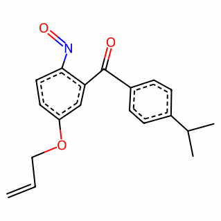 C=CCOc1ccc(N=O)c(C(=O)c2ccc(C(C)C)cc2)c1